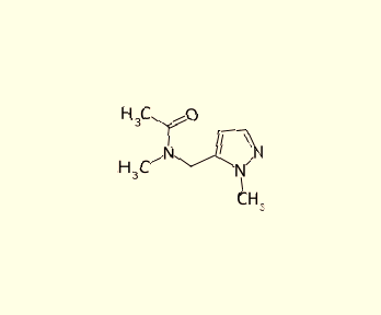 CC(=O)N(C)Cc1ccnn1C